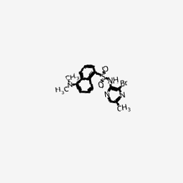 Cc1cnc(NS(=O)(=O)c2cccc3c(N(C)C)cccc23)c(Br)n1